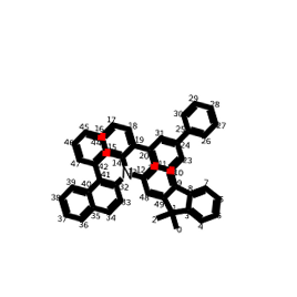 CC1(C)c2ccccc2-c2ccc(N(c3ccccc3-c3cccc(-c4ccccc4)c3)c3ccc4ccccc4c3-c3ccccc3)cc21